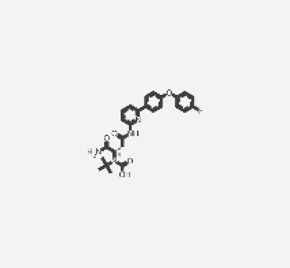 CC(C)(C)N(C(=O)O)[C@@H](CC(=O)Nc1cccc(-c2ccc(Oc3ccc(F)cc3)cc2)n1)C(N)=O